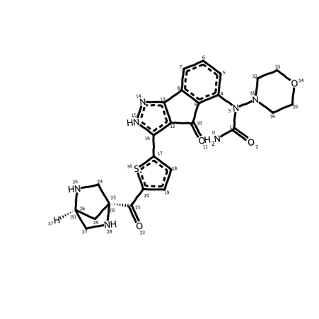 NC(=O)N(c1cccc2c1C(=O)c1c-2n[nH]c1-c1ccc(C(=O)[C@]23CN[C@H](CN2)C3)s1)N1CCOCC1